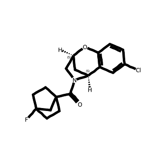 O=C(N1C[C@@H]2C[C@H]1c1cc(Cl)ccc1O2)C12CCC(F)(CC1)C2